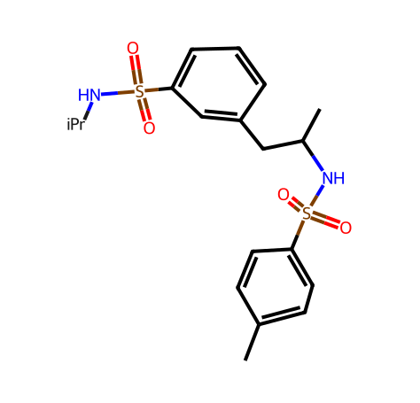 Cc1ccc(S(=O)(=O)NC(C)Cc2cccc(S(=O)(=O)NC(C)C)c2)cc1